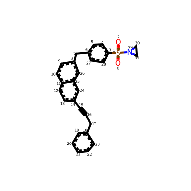 O=S(=O)(c1ccc(Cc2ccc3ccc(C#CCc4ccccc4)cc3c2)cc1)N1CC1